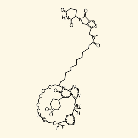 C[C@H]1Nc2ncnc3c2cc(C2CCS(=O)(=O)CC2)c(=O)n3C(CCCCCCCCCCCC(=O)N(C)Cc2scc3c2CN(C2CCC(=O)NC2=O)C3=O)CCOCCCCN2CC(C2)CC(F)(F)c2cccc1c2